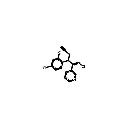 C#CCC(/C(=C/Cl)c1cccnc1)c1ccc(Cl)cc1Cl